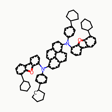 c1cc(C2CCCCC2)c2oc3c(N(c4ccc(C5CCCCC5)cc4)c4ccc5ccc6c(N(c7ccc(C8CCCCC8)cc7)c7cccc8c7oc7c(C9CCCCC9)cccc78)ccc7ccc4c5c76)cccc3c2c1